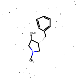 CO[C@@H]1CN(C)C[C@H]1Cc1ccccc1